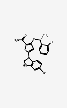 C[C@@H](Oc1cc(N2CNc3cc(Br)ccc32)sc1C(N)=O)c1ccccc1Cl